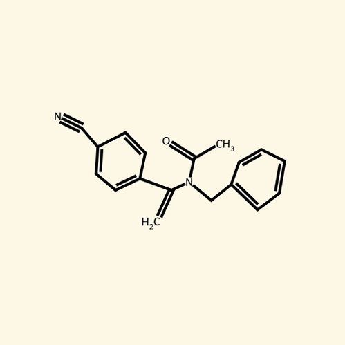 C=C(c1ccc(C#N)cc1)N(Cc1ccccc1)C(C)=O